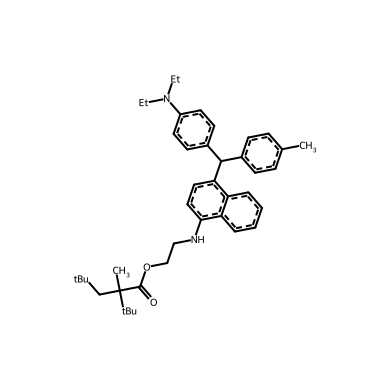 CCN(CC)c1ccc(C(c2ccc(C)cc2)c2ccc(NCCOC(=O)C(C)(CC(C)(C)C)C(C)(C)C)c3ccccc23)cc1